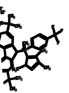 [CH2]=[Zr+2]([C]1=C(C)C(C)=CC1C)([c]1ccc(C(F)(F)F)cc1)[CH]1c2cc(C(C)(C)C)ccc2-c2ccc(C(C)(C)C)cc21.[Cl-].[Cl-]